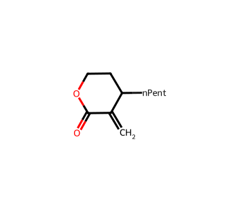 C=C1C(=O)OCCC1CCCCC